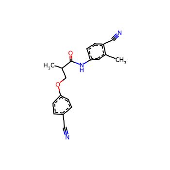 Cc1cc(NC(=O)C(C)COc2ccc(C#N)cc2)ccc1C#N